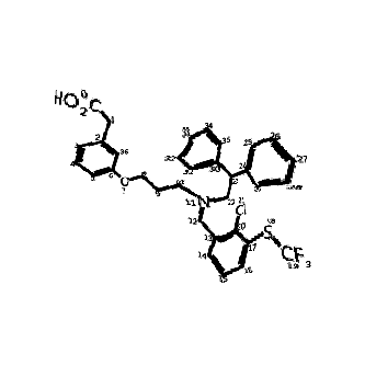 O=C(O)Cc1cccc(OCCCN(Cc2cccc(SC(F)(F)F)c2Cl)CC(c2ccccc2)c2ccccc2)c1